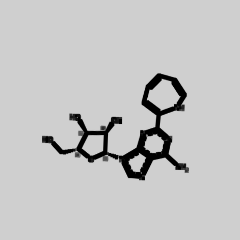 Nc1nc(C2=CC=CC=CN2)nc2c1ncn2[C@@H]1O[C@H](CO)[C@@H](O)[C@H]1O